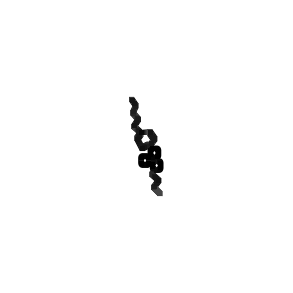 CCCCCc1ccc(OC(=O)OCCCC)cc1